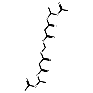 CC(=O)OC(C)OC(=O)CC(=O)OCOC(=O)CC(=O)OC(C)OC(C)=O